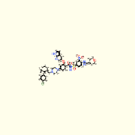 CC1(C)CCCC(CN2CCN(c3ccc(C(=O)NS(=O)(=O)c4ccc(NCC5CCOCC5)c([N+](=O)[O-])c4)c(Oc4cnc5[nH]ccc5c4)c3)CC2)=C1c1ccc(Cl)cc1